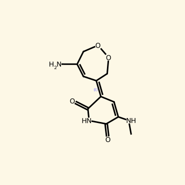 CNC1=C/C(=C2/C=C(N)COOC2)C(=O)NC1=O